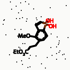 CCOC(=O)CCc1ccc2c(c1OC)C=CS2(O)O